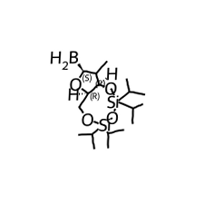 B[C@@H]1O[C@@H]2CO[Si](C(C)C)(C(C)C)O[Si](C(C)C)(C(C)C)O[C@@H]2C1C